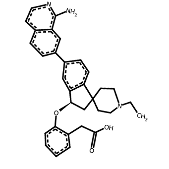 CCN1CCC2(CC1)C[C@@H](Oc1ccccc1CC(=O)O)c1cc(-c3ccc4ccnc(N)c4c3)ccc12